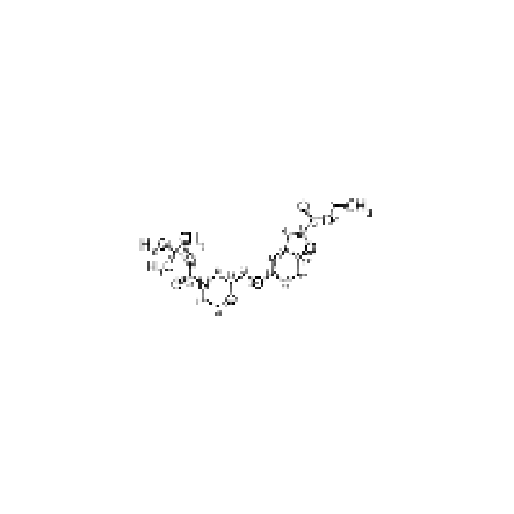 CCOC(=O)c1cc2cc(OC[C@@H]3CN(C(=O)OC(C)(C)C)CCO3)ccc2o1